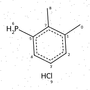 Cc1cccc(P)c1C.Cl